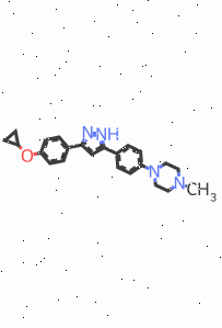 CN1CCN(c2ccc(-c3cc(-c4ccc(OC5CC5)cc4)n[nH]3)cc2)CC1